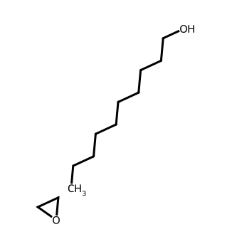 C1CO1.CCCCCCCCCCO